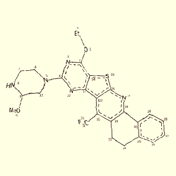 CCOc1nc(N2CCNC(OC)C2)nc2c1sc1nc3c(c(C(F)(F)F)c12)CCc1ccccc1-3